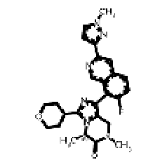 C[C@@H]1C(=O)N(C)Cc2c(-c3c(F)ccc4cc(-c5ccn(C)n5)ncc34)nc(C3CCOCC3)n21